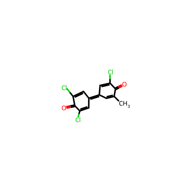 CC1=CC(=C2C=C(Cl)C(=O)C(Cl)=C2)C=C(Cl)C1=O